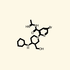 CC(=N)NC(=O)c1cc(Br)cnc1N1CCC(NC2CCCCC2)C(CO)C1